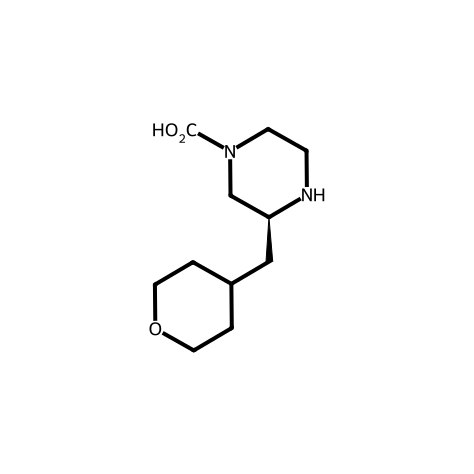 O=C(O)N1CCN[C@@H](CC2CCOCC2)C1